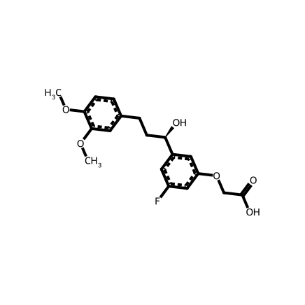 COc1ccc(CC[C@@H](O)c2cc(F)cc(OCC(=O)O)c2)cc1OC